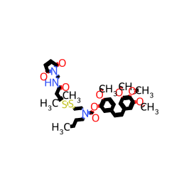 CCCCN(CCSSC(C)(C)CC(=O)NCN1C(=O)C=CC1=O)C(=O)Oc1cc(/C=C\c2cc(OC)c(OC)c(OC)c2)ccc1OC